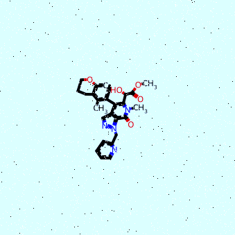 COC(=O)C(O)c1c(-c2ccc3c(c2C)CCCO3)c2cnn(Cc3ccccn3)c2c(=O)n1C